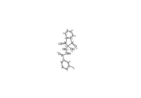 Cc1cccc(C(=O)NNC2(O)C(=O)c3ccccc3C2=O)c1